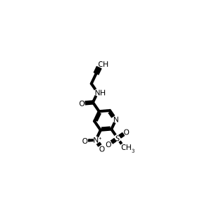 C#CCNC(=O)c1cnc(S(C)(=O)=O)c([N+](=O)[O-])c1